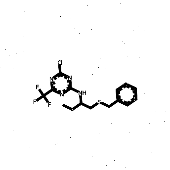 CCC(CSCc1ccccc1)Nc1nc(Cl)nc(C(F)(F)F)n1